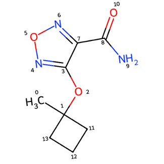 CC1(Oc2nonc2C(N)=O)CCC1